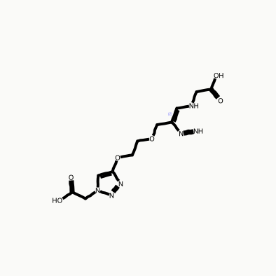 N=N/C(=C\NCC(=O)O)COCCOc1cn(CC(=O)O)nn1